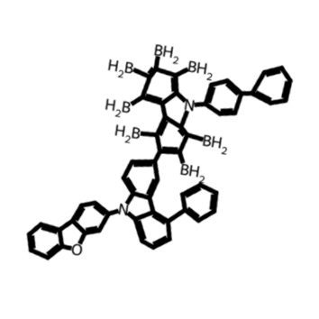 Bc1c(B)c(B)c2c(c1B)c1c(B)c(-c3ccc4c(c3)c3c(-c5ccccc5)cccc3n4-c3ccc4c(c3)oc3ccccc34)c(B)c(B)c1n2-c1ccc(-c2ccccc2)cc1